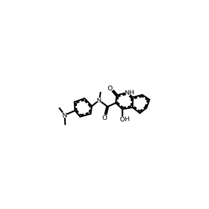 CN(C)c1ccc(N(C)C(=O)c2c(O)c3ccccc3[nH]c2=O)cc1